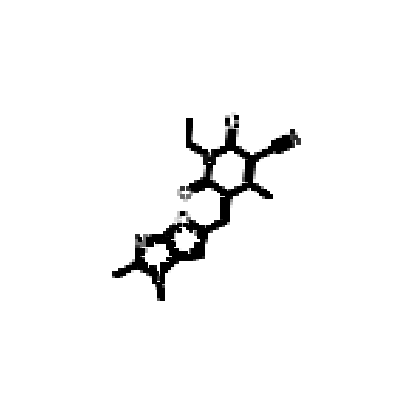 CCN1C(=O)C(C#N)=C(C)/C(=C/c2cc3c(nc(C)n3C)o2)C1=O